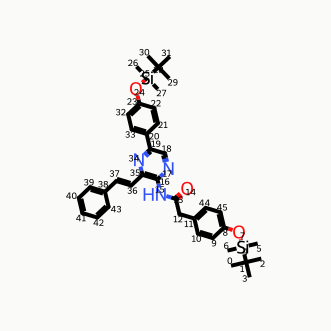 CC(C)(C)[Si](C)(C)Oc1ccc(CC(=O)Nc2ncc(-c3ccc(O[Si](C)(C)C(C)(C)C)cc3)nc2C=Cc2ccccc2)cc1